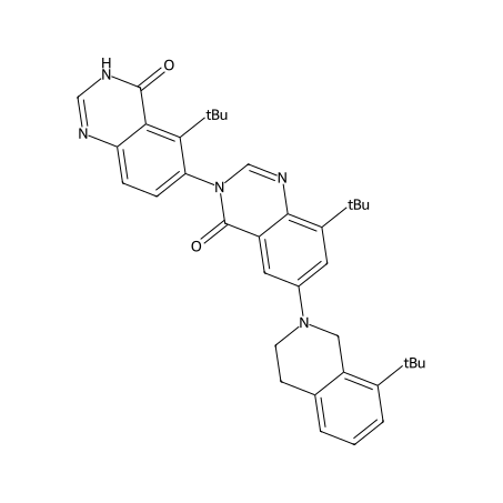 CC(C)(C)c1cccc2c1CN(c1cc(C(C)(C)C)c3ncn(-c4ccc5nc[nH]c(=O)c5c4C(C)(C)C)c(=O)c3c1)CC2